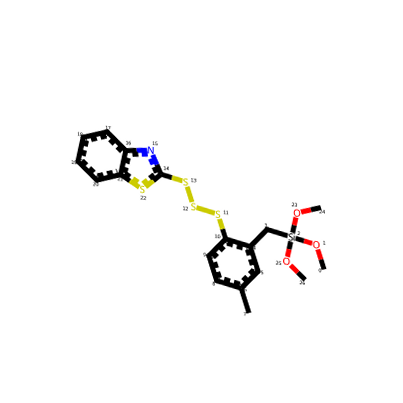 CO[Si](Cc1cc(C)ccc1SSSc1nc2ccccc2s1)(OC)OC